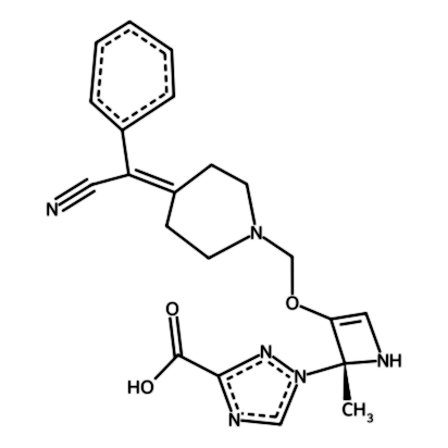 C[C@]1(n2cnc(C(=O)O)n2)NC=C1OCN1CCC(=C(C#N)c2ccccc2)CC1